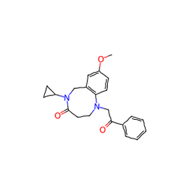 COc1ccc2c(c1)CN(C1CC1)C(=O)CCN2CC(=O)c1ccccc1